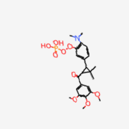 COc1cc(C(=O)C2C(c3ccc(N(C)C)c(OOP(=O)(O)O)c3)C2(C)C)cc(OC)c1OC